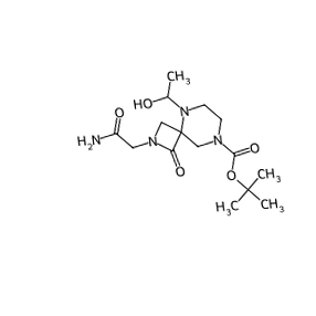 CC(O)N1CCN(C(=O)OC(C)(C)C)CC12CN(CC(N)=O)C2=O